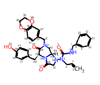 C=CCN(C(=O)NCc1ccccc1)N1CC(=O)N2[C@@H](Cc3ccc(O)cc3)C(=O)N(Cc3ccc4c(c3)OCCO4)C[C@@H]21